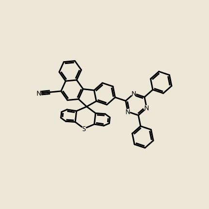 N#Cc1cc2c(c3ccccc13)-c1ccc(-c3nc(-c4ccccc4)nc(-c4ccccc4)n3)cc1C21c2ccccc2Sc2ccccc21